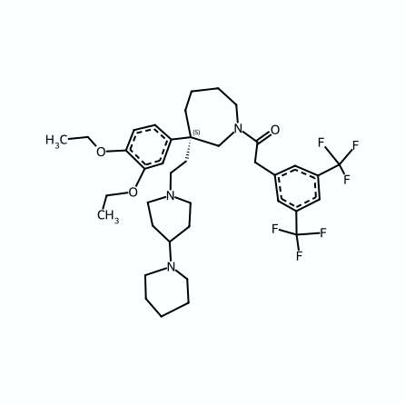 CCOc1ccc([C@@]2(CCN3CCC(N4CCCCC4)CC3)CCCCN(C(=O)Cc3cc(C(F)(F)F)cc(C(F)(F)F)c3)C2)cc1OCC